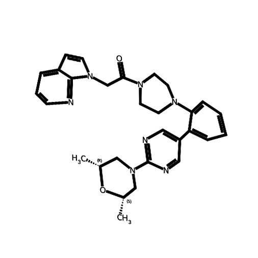 C[C@@H]1CN(c2ncc(-c3ccccc3N3CCN(C(=O)Cn4ccc5cccnc54)CC3)cn2)C[C@H](C)O1